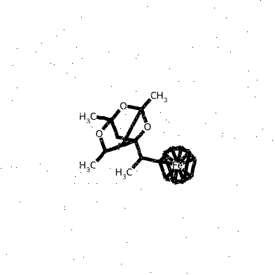 CC(C12CC3(C)OC(C)(CC(C)(O3)[P]1)O2)[C]12[CH]3[CH]4[CH]5[CH]1[Fe]45321678[CH]2[CH]1[CH]6[CH]7[CH]28